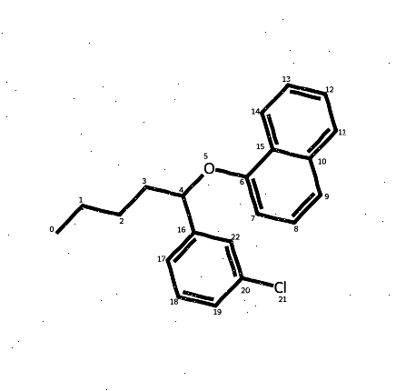 C[CH]CCC(Oc1cccc2ccccc12)c1cccc(Cl)c1